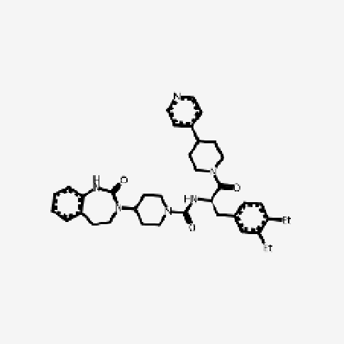 CCc1ccc(C[C@@H](NC(=O)N2CCC(N3CCc4ccccc4NC3=O)CC2)C(=O)N2CCC(c3ccncc3)CC2)cc1CC